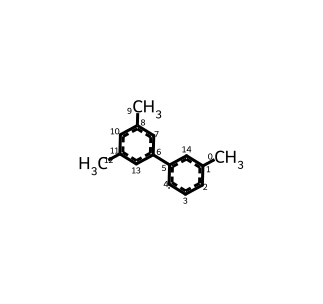 Cc1cc[c]c(-c2cc(C)cc(C)c2)c1